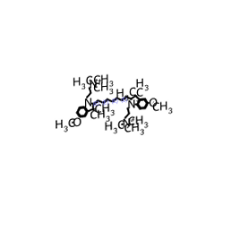 COc1ccc2c(c1)C(C)(C)C(/C=C/C=C/C=C/C=C1/N(CCC[N+](C)(C)C)c3ccc(OC)cc3C1(C)C)=[N+]2CCC[N+](C)(C)C